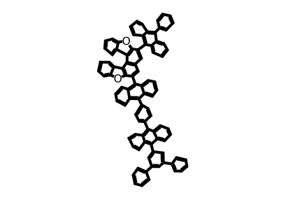 c1ccc(-c2cc(-c3ccccc3)cc(-c3c4ccccc4c(-c4ccc(-c5c6ccccc6c(-c6cc7cc(-c8c9ccccc9c(-c9ccccc9)c9ccccc89)c8oc9ccccc9c8c7c7c6oc6ccccc67)c6ccccc56)cc4)c4ccccc34)c2)cc1